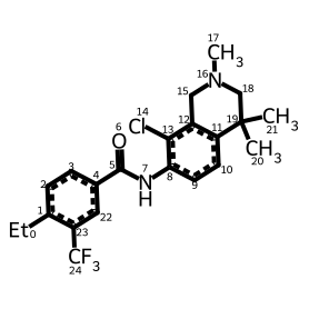 CCc1ccc(C(=O)Nc2ccc3c(c2Cl)CN(C)CC3(C)C)cc1C(F)(F)F